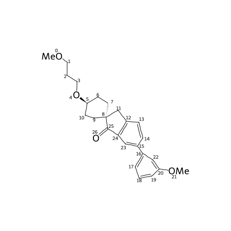 COCCCO[C@H]1CC[C@]2(CC1)Cc1ccc(-c3cccc(OC)c3)cc1C2=O